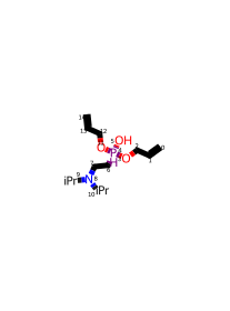 C=CCO[PH](O)(CCN(C(C)C)C(C)C)OCC=C